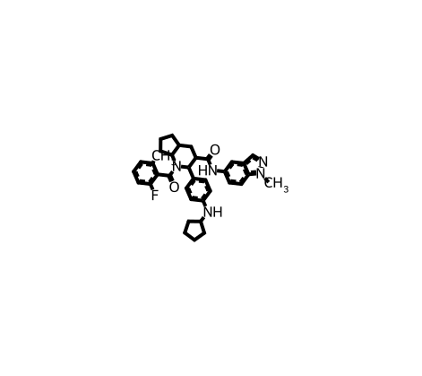 Cc1cccc(F)c1C(=O)N1C2CCCC2CC(C(=O)Nc2ccc3c(cnn3C)c2)C1c1ccc(NC2CCCC2)cc1